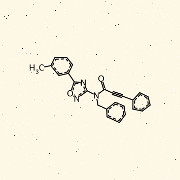 Cc1cccc(-c2nc(N(Cc3ccccc3)C(=O)C#Cc3ccccc3)no2)c1